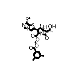 CSc1ncn2cc(C3=C(C(=O)OCOC(=O)c4cc(C)cc(C)c4)N4C(=O)[C@H]([C@@H](C)O)[C@H]4[C@H]3C)sc12